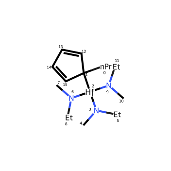 CCC[C]1([Hf]([N](C)CC)([N](C)CC)[N](C)CC)C=CC=C1